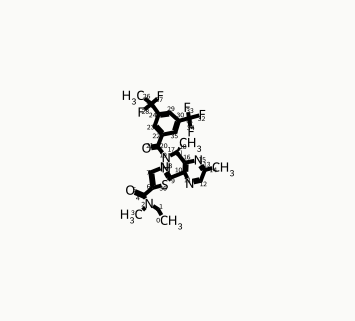 CCN(C)C(=O)c1cnc(-c2ncc(C)nc2[C@H](C)NC(=O)c2cc(C(C)(F)F)cc(C(F)(F)F)c2)s1